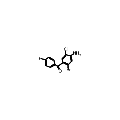 Nc1cc(Br)c(C(=O)c2ccc(F)cc2)cc1Cl